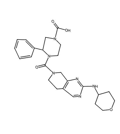 O=C(O)N1CCN(C(=O)N2CCc3cnc(NC4CCOCC4)nc3C2)C(c2ccccc2)C1